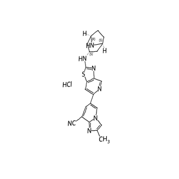 Cc1cn2cc(-c3cc4sc(N[C@@H]5C[C@H]6CC[C@@H](C5)N6)nc4cn3)cc(C#N)c2n1.Cl